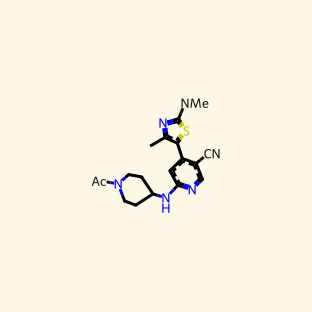 CNc1nc(C)c(-c2cc(NC3CCN(C(C)=O)CC3)ncc2C#N)s1